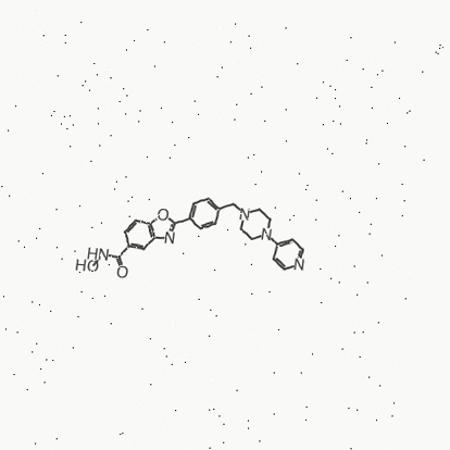 O=C(NO)c1ccc2oc(-c3ccc(CN4CCN(c5ccncc5)CC4)cc3)nc2c1